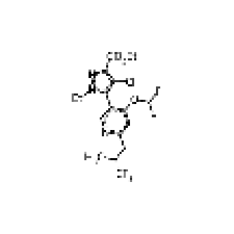 CCOC(=O)c1nn(CC)c(-c2cnc(C[C@@H](C)C(F)(F)F)cc2OC(F)F)c1Cl